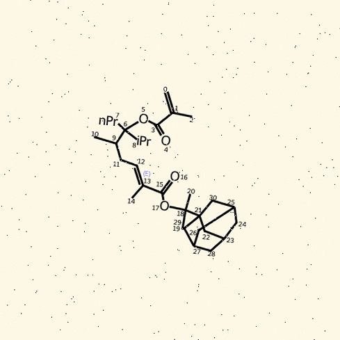 C=C(C)C(=O)OC(CCC)(C(C)C)C(C)C/C=C(\C)C(=O)OC(C)(C)C12CC3CC(CC(C3)C1)C2